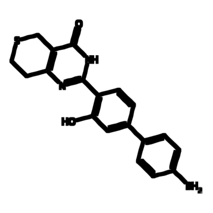 Bc1ccc(-c2ccc(-c3nc4c(c(=O)[nH]3)CSCC4)c(O)c2)cc1